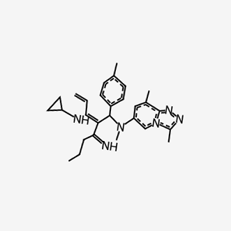 C=C/C(NC1CC1)=C(/C(=N)CCC)C(c1ccc(C)cc1)N(C)c1cc(C)c2nnc(C)n2c1